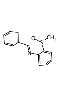 C[S+]([O-])c1ccccc1N=Cc1ccccc1